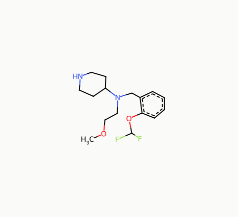 COCCN(Cc1ccccc1OC(F)F)C1CCNCC1